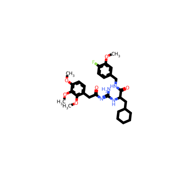 COc1cc(CNC(=O)C(CC2CCCCC2)NC(N)=NC(=O)Cc2ccc(OC)c(OC)c2OC)ccc1F